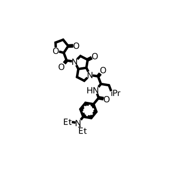 CCN(CC)c1ccc(C(=O)NC(CC(C)C)C(=O)N2CCC3C2C(=O)CN3C(=O)C2OCCC2=O)cc1